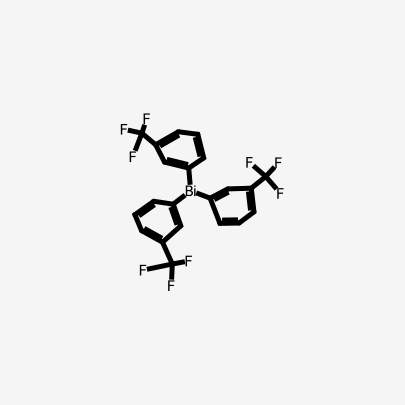 FC(F)(F)c1ccc[c]([Bi]([c]2cccc(C(F)(F)F)c2)[c]2cccc(C(F)(F)F)c2)c1